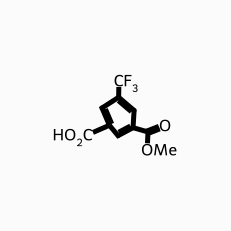 COC(=O)c1cc(C(=O)O)cc(C(F)(F)F)c1